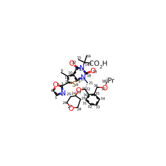 Cc1c(-c2ncco2)sc2c1c(=O)n(C(C)(C)C(=O)O)c(=O)n2C[C@@H](OC1CCOCC1)c1ccccc1COC(C)C